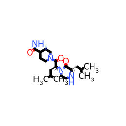 CC(C)C[C@@H]1NCCN([C@@H](CC(C)C)C(=O)N2CCC(C(N)=O)CC2)C1=O